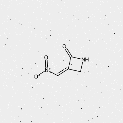 O=C1NCC1=C[N+](=O)[O-]